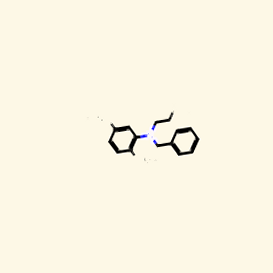 COc1ccc(NC(C)=O)cc1N(CCS(=O)(=O)O)Cc1ccccc1